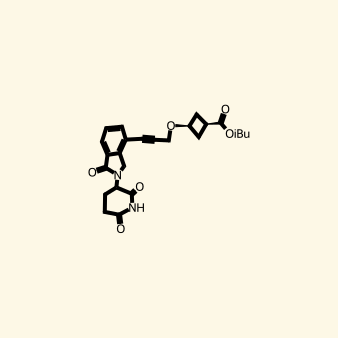 CC(C)COC(=O)[C@H]1C[C@@H](OCC#Cc2cccc3c2CN(C2CCC(=O)NC2=O)C3=O)C1